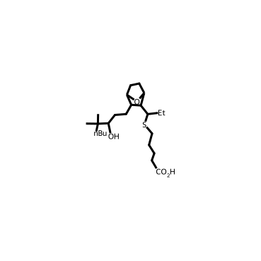 CCCCC(C)(C)C(O)CCC1C2CCC(O2)C1C(CC)SCCCCC(=O)O